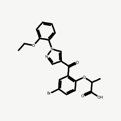 CCOc1ccccc1-n1cc(C(=O)c2cc(Br)ccc2OC(C)C(=O)O)cn1